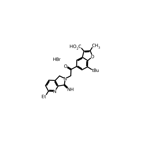 Br.CCc1ccc2c(n1)C(=N)N(CC(=O)c1cc(C(C)(C)C)c3oc(C)c(C(=O)O)c3c1)C2